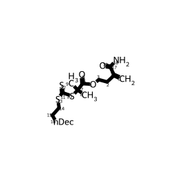 C=C(CCOC(=O)C(C)(C)SC(=S)SCCCCCCCCCCCC)C(N)=O